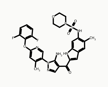 Cc1cc2cc(C(=O)c3cnn(-c4cnc(Oc5c(F)cccc5F)cc4C)c3N)[nH]c2cc1NS(=O)(=O)N1CCOCC1